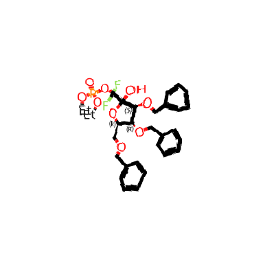 CCOP(=O)(OCC)OC(F)(F)C1(O)O[C@H](COCc2ccccc2)[C@@H](OCc2ccccc2)[C@@H]1OCc1ccccc1